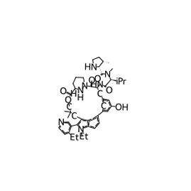 CCc1ccncc1-c1c2c3cc(ccc3n1CC)-c1cc(O)cc(c1)C[C@H](NC(=O)[C@H](C(C)C)N(C)C(=O)[C@@H]1NCC[C@@H]1C)C(=O)N1CCC[C@H](N1)C(=O)OCC(C)(C)C2